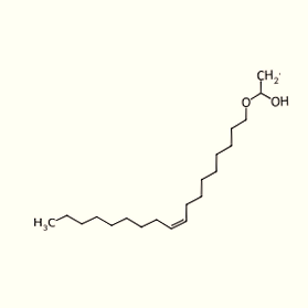 [CH2]C(O)OCCCCCCCC/C=C\CCCCCCCC